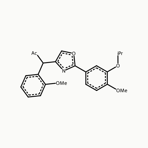 COc1ccc(-c2nc(C(C(C)=O)c3ccccc3OC)co2)cc1OC(C)C